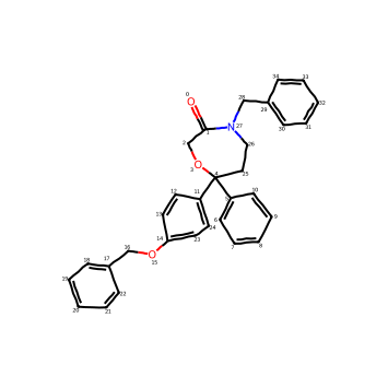 O=C1COC(c2ccccc2)(c2ccc(OCc3ccccc3)cc2)CCN1Cc1ccccc1